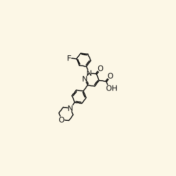 O=C(O)c1cc(-c2ccc(N3CCOCC3)cc2)nn(-c2cccc(F)c2)c1=O